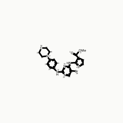 COC(=O)c1ccsc1Nc1nc(Nc2ccc(N3CCOCC3)cc2)ncc1Br